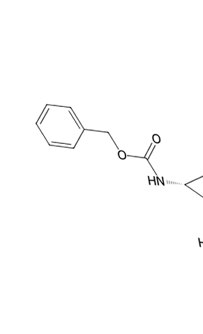 O=C(N[C@@H]1C[C@@H]1CO)OCc1ccccc1